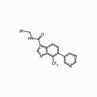 CC(C)CNC(=O)n1cnc2c(C(F)(F)F)c(-c3cncnc3)ccc21